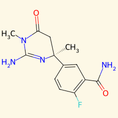 CN1C(=O)C[C@@](C)(c2ccc(F)c(C(N)=O)c2)N=C1N